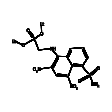 CCOP(=O)(CNc1c([N+](=O)[O-])cc([N+](=O)[O-])c2c(S(N)(=O)=O)cccc12)OCC